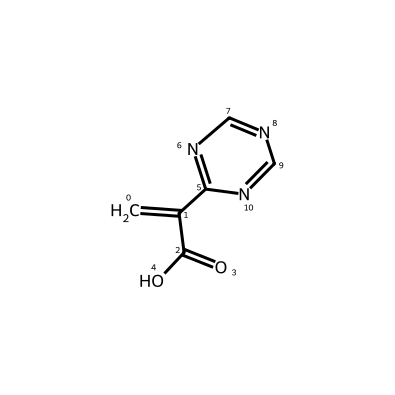 C=C(C(=O)O)c1ncncn1